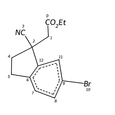 CCOC(=O)CC1(C#N)CCc2ccc(Br)cc21